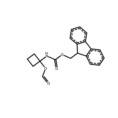 O=COC1(NC(=O)OCC2c3ccccc3-c3ccccc32)CCC1